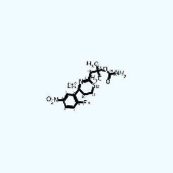 CC[C@@]1(c2cc([N+](=O)[O-])ccc2F)CCSC(CC(C)(C)OC(N)=O)=N1